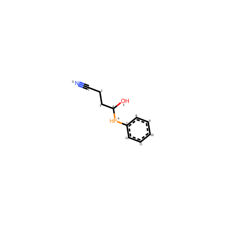 N#CCCC(O)Pc1ccccc1